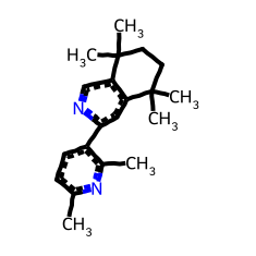 Cc1ccc(-c2cc3c(cn2)C(C)(C)CCC3(C)C)c(C)n1